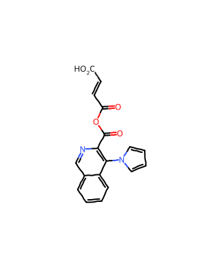 O=C(O)/C=C/C(=O)OC(=O)c1ncc2ccccc2c1-n1cccc1